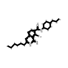 CCCCCCc1cc2ccc(C(=O)OC3CCC(CCC)CC3)c(F)c2c(=O)o1